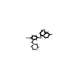 Cc1ccc2c(Nc3ccc(O)c(CN4CCSCC4)c3)ccnc2c1